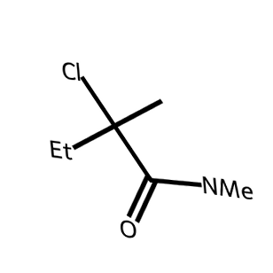 CCC(C)(Cl)C(=O)NC